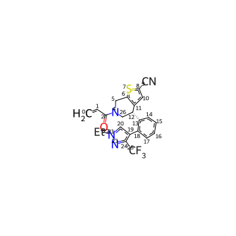 C=CC(=O)N1Cc2sc(C#N)cc2[C@H](c2ccccc2-c2cn(CC)nc2C(F)(F)F)C1